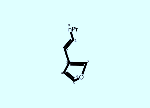 CCCC=Cc1ccoc1